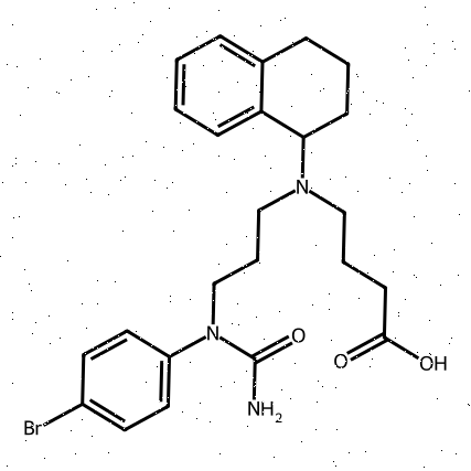 NC(=O)N(CCCN(CCCC(=O)O)C1CCCc2ccccc21)c1ccc(Br)cc1